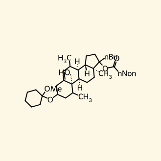 CCCCCCCCCC(=O)OC1(CCCC)CC[C@H]2[C@@H]3C(C)C=C4CC(OC5(OC)CCCCC5)CC(C)[C@]4(CO)[C@@H]3CC[C@@]21C